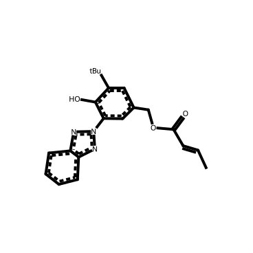 CC=CC(=O)OCc1cc(-n2nc3ccccc3n2)c(O)c(C(C)(C)C)c1